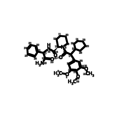 COc1cc(C(C(=O)N2CCCC[C@H]2C(=O)NC(C(N)=O)c2ccccc2)C2CCCCC2)cc(OC)c1OC